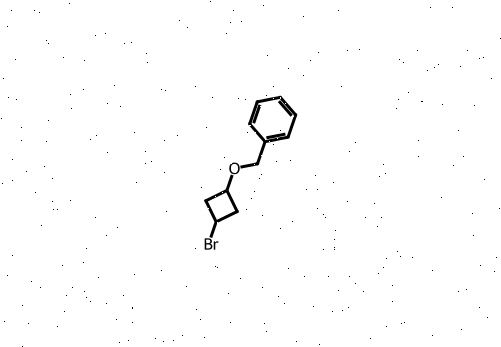 BrC1CC(OCc2ccccc2)C1